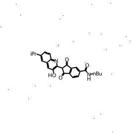 CCCCNC(=O)c1ccc2c(c1)C(=O)C(c1nc3ccc(C(C)C)cc3cc1O)C2=O